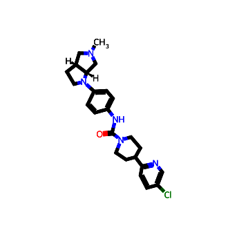 CN1C[C@H]2CCN(c3ccc(NC(=O)N4CCC(c5ccc(Cl)cn5)CC4)cc3)[C@H]2C1